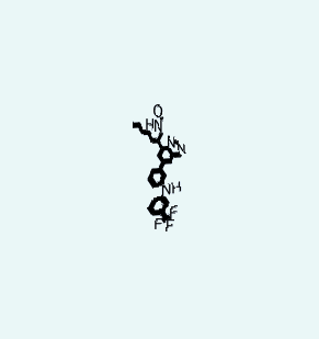 C=CCCCC(CNC=O)c1cc(-c2cccc(Nc3cccc(C(F)(F)F)c3)c2)cc2cncnc12